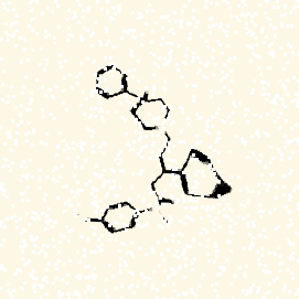 CN(C(=O)CC(CCN1CCC(O)(c2ccccc2)CC1)c1ccccc1)c1ccc(Cl)cc1